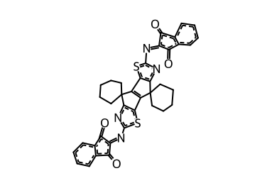 O=c1c(=Nc2nc3c(s2)C2=C(c4sc(N=c5c(=O)c6ccccc6c5=O)nc4C24CCCCC4)C32CCCCC2)c(=O)c2ccccc12